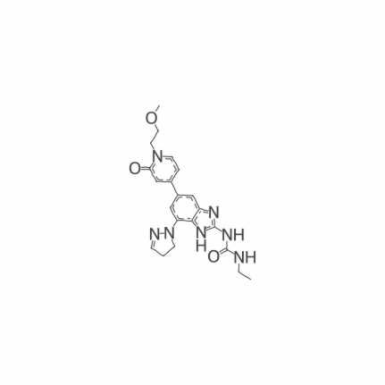 CCNC(=O)Nc1nc2cc(-c3ccn(CCOC)c(=O)c3)cc(N3CCC=N3)c2[nH]1